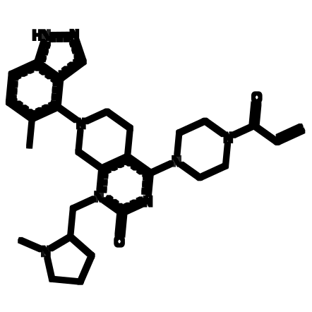 C=CC(=O)N1CCN(c2nc(=O)n(CC3CCCN3C)c3c2CCN(c2c(C)ccc4[nH]ncc24)C3)CC1